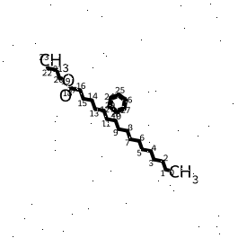 CCCCCCCCCCCCCCCCCC(=O)OCCCC.c1ccccc1